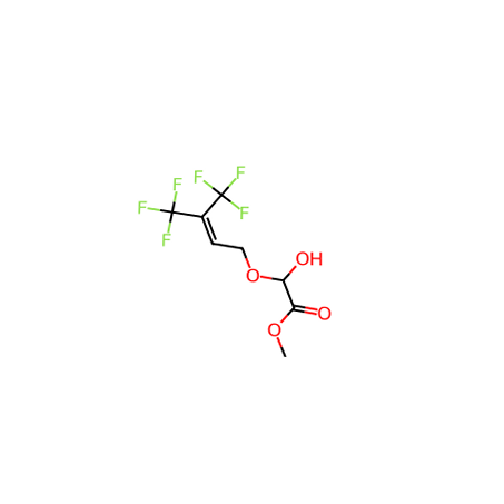 COC(=O)C(O)OCC=C(C(F)(F)F)C(F)(F)F